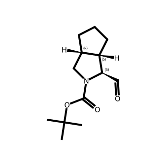 CC(C)(C)OC(=O)N1C[C@@H]2CCC[C@@H]2[C@H]1C=O